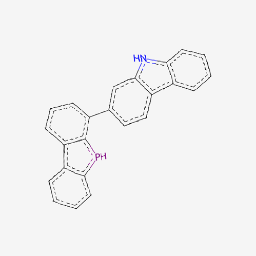 c1ccc2c(c1)[nH]c1cc(-c3cccc4c3[pH]c3ccccc34)ccc12